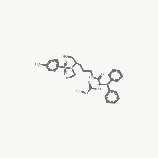 CC(C)CN(C(CO)CCCNC(=O)[C@@H](NC(=O)OC(C)(C)C)C(c1ccccc1)c1ccccc1)S(=O)(=O)c1ccc(N)cc1